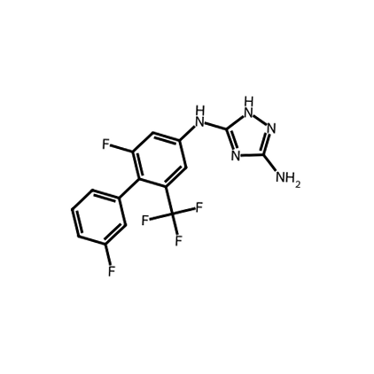 Nc1n[nH]c(Nc2cc(F)c(-c3cccc(F)c3)c(C(F)(F)F)c2)n1